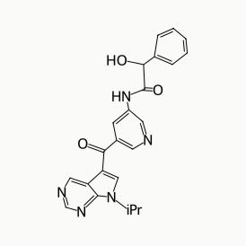 CC(C)n1cc(C(=O)c2cncc(NC(=O)C(O)c3ccccc3)c2)c2cncnc21